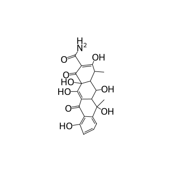 CC1C(O)=C(C(N)=O)C(=O)C2(O)C(O)=C3C(=O)c4c(O)cccc4C(C)(O)C3C(O)C12